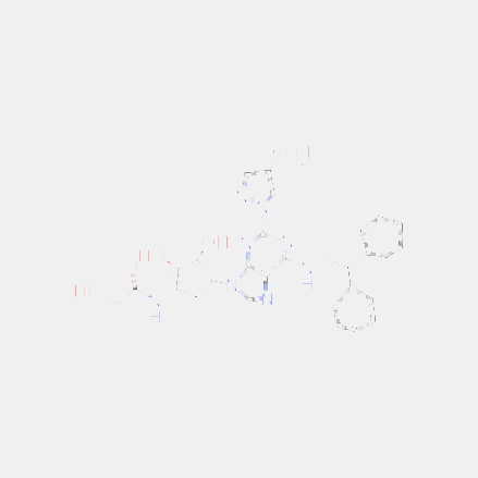 CCOC(=O)c1cnn(-c2nc(NCC(c3ccccc3)c3ccccc3)c3ncn(C4C[C@H](NC(=O)CO)[C@@H](O)[C@H]4O)c3n2)c1